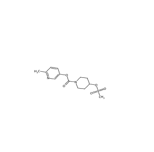 Cc1ccc(OC(=O)N2CCC(OS(C)(=O)=O)CC2)cn1